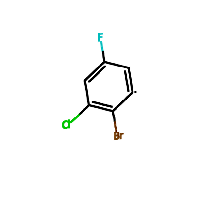 Fc1c[c]c(Br)c(Cl)c1